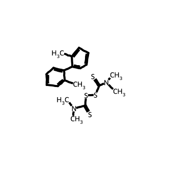 CN(C)C(=S)SSC(=S)N(C)C.Cc1ccccc1-c1ccccc1C